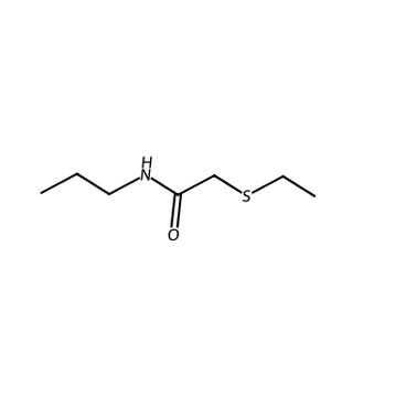 CCCNC(=O)CSCC